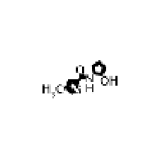 Cc1csc(C(=O)N[C@@H]2CCC[C@H]2O)c1